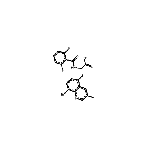 O=C(N[C@@H](Cc1ccc(Br)c2ncc(I)cc12)C(=O)O)c1c(F)cccc1F